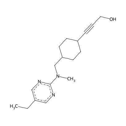 CCc1cnc(N(C)CC2CCC(C#CCO)CC2)nc1